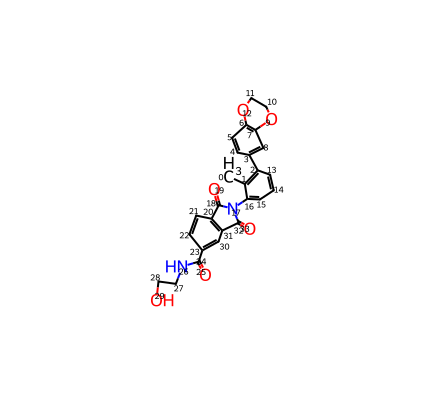 Cc1c(-c2ccc3c(c2)OCCO3)cccc1N1C(=O)c2ccc(C(=O)NCCO)cc2C1=O